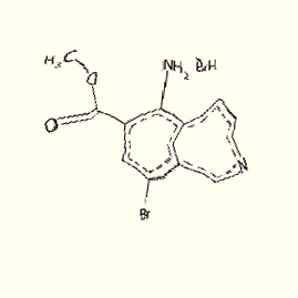 Br.COC(=O)c1cc(Br)c2cnccc2c1N